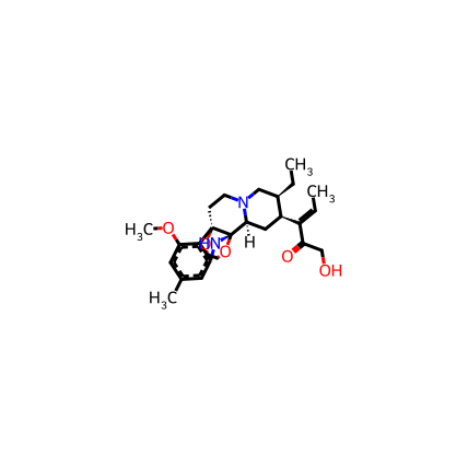 C/C=C(/C(=O)CO)[C@H]1C[C@@H]2N(CC[C@@]34OCCO[C@@]23Nc2cc(C)cc(OC)c24)C[C@H]1CC